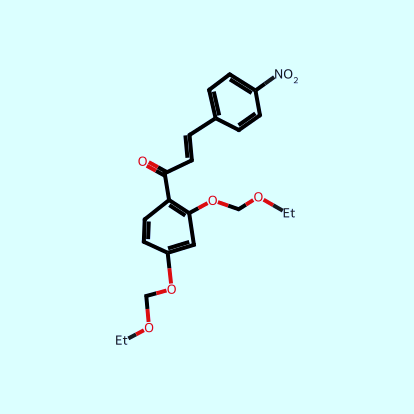 CCOCOc1ccc(C(=O)/C=C/c2ccc([N+](=O)[O-])cc2)c(OCOCC)c1